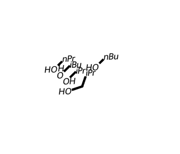 CC(C)CO.CC(C)O.CCC(C)O.CCCCO.CCCO